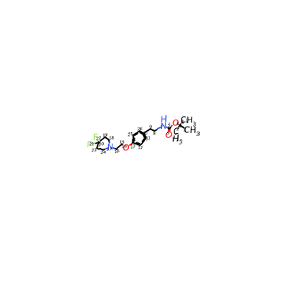 CC(C)(C)OC(=O)NCCc1ccc(OCCN2CCC(F)(F)CC2)cc1